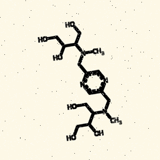 CN(Cc1cnc(CN(C)C(CO)C(O)CO)cn1)C(CO)C(O)CO